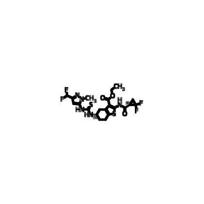 CCOC(=O)c1c(NC(=O)[C@H]2CC2(F)F)sc2c1C[C@@H](NC(=S)Nc1cc(C(F)F)nn1C)CC2